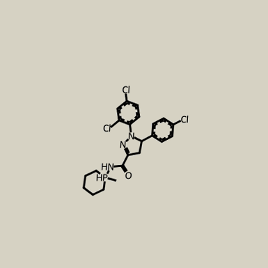 C[PH]1(NC(=O)C2=NN(c3ccc(Cl)cc3Cl)C(c3ccc(Cl)cc3)C2)CCCCC1